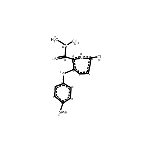 CSc1ccc(Sc2ccc(Cl)cc2C(=O)N(C)C)cc1